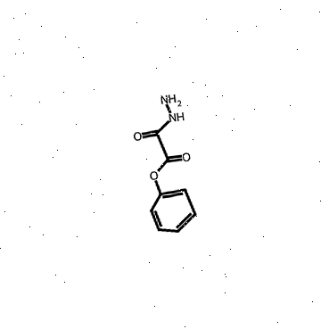 NNC(=O)C(=O)Oc1ccccc1